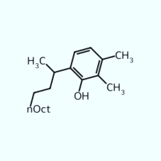 CCCCCCCCCCC(C)c1ccc(C)c(C)c1O